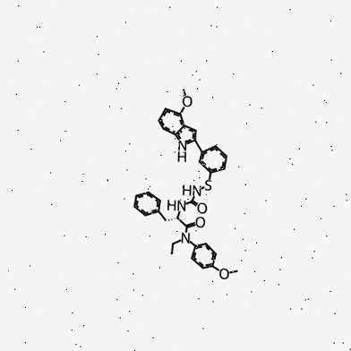 CCN(C(=O)[C@H](Cc1ccccc1)NC(=O)NSc1cccc(-c2cc3c(OC)cccc3[nH]2)c1)c1ccc(OC)cc1